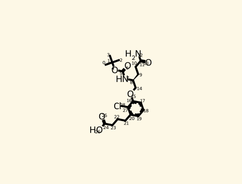 CC(C)(C)OC(=O)N[C@@H](CCC(N)=O)COc1cccc(CCCC(=O)O)c1Cl